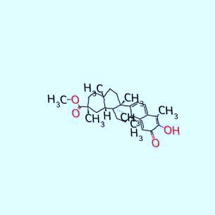 CC[C@@]12CC[C@@]3(C)C4=CC(=O)C(O)=C(C)C4=CC=C3[C@@]1(C)CC[C@@]1(C)CC[C@@](C)(C(=O)OC)C[C@H]12